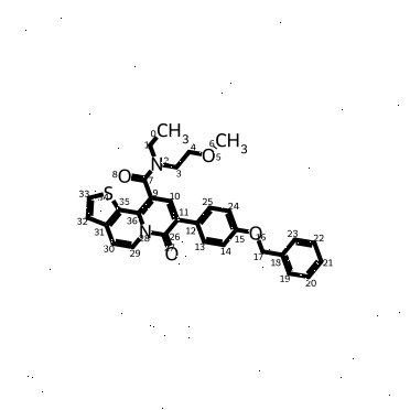 CCN(CCOC)C(=O)c1cc(-c2ccc(OCc3ccccc3)cc2)c(=O)n2ccc3ccsc3c12